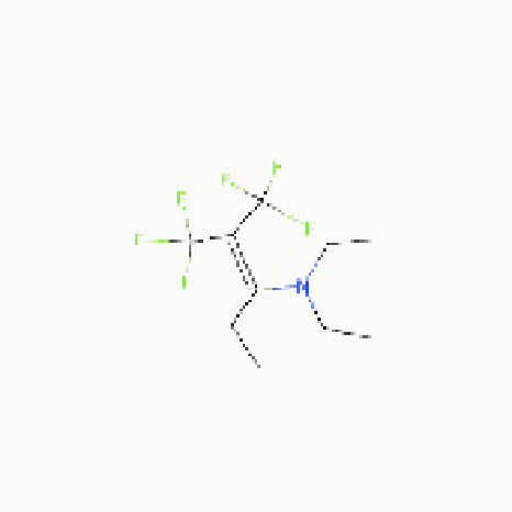 CCC(=C(C(F)(F)F)C(F)(F)F)N(CC)CC